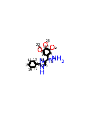 COc1cc(/C(=N\N)c2c[nH]c(-c3ccccc3)n2)cc(OC)c1OC